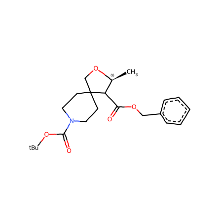 C[C@@H]1OCC2(CCN(C(=O)OC(C)(C)C)CC2)C1C(=O)OCc1ccccc1